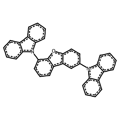 c1cc(-n2c3ccccc3c3ccccc32)c2oc3ccc(-n4c5ccccc5c5ccccc54)cc3c2c1